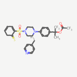 CC(OC(=O)C(F)(F)F)(c1ccc(N2CCN(S(=O)(=O)C3=CC=CCC3=S)C[C@H]2Cc2ccncc2)cc1)C(F)(F)F